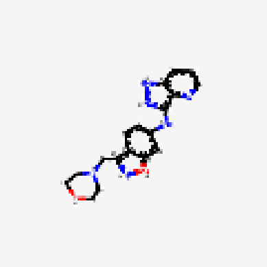 c1cnc2c(Nc3ccc4c(CN5CCOCC5)noc4c3)n[nH]c2c1